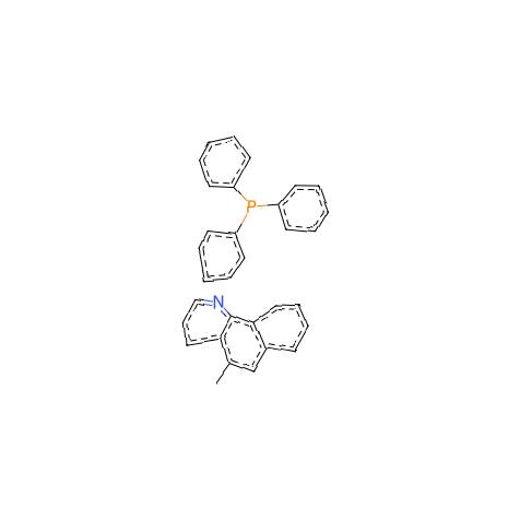 Cc1cc2ccccc2c2ncccc12.c1ccc(P(c2ccccc2)c2ccccc2)cc1